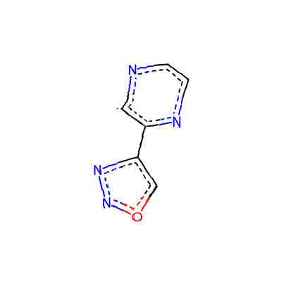 [c]1nccnc1-c1conn1